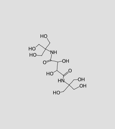 O=C(NC(CO)(CO)CO)C(O)C(O)C(=O)NC(CO)(CO)CO